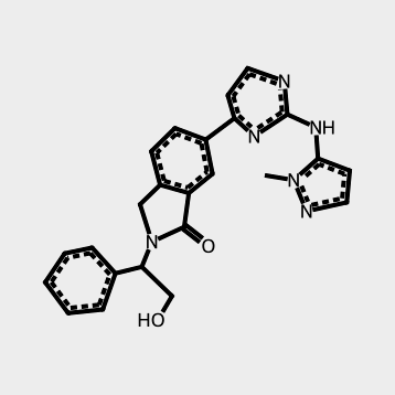 Cn1nccc1Nc1nccc(-c2ccc3c(c2)C(=O)N(C(CO)c2ccccc2)C3)n1